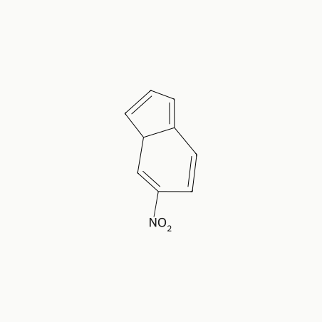 O=[N+]([O-])C1=CC2C=CC=C2C=C1